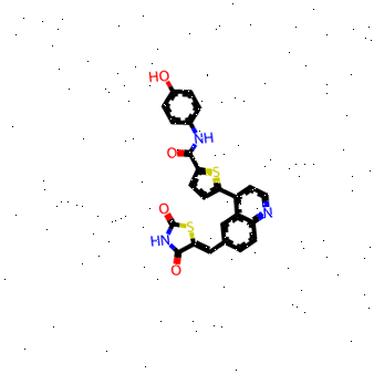 O=C1NC(=O)C(=Cc2ccc3nccc(-c4ccc(C(=O)Nc5ccc(O)cc5)s4)c3c2)S1